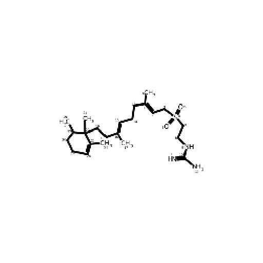 CC(=CCS(=O)(=O)CCNC(=N)N)CCC=C(C)CCC1(C)C(C)=CCCC1C